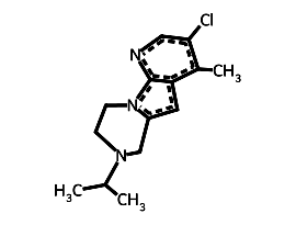 Cc1c(Cl)cnc2c1cc1n2CCN(C(C)C)C1